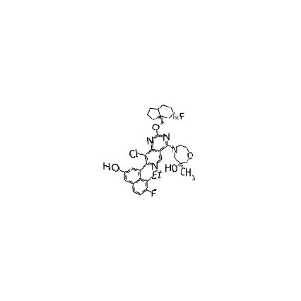 CCc1c(F)ccc2cc(O)cc(-c3ncc4c(N5CCOC[C@@](C)(O)C5)nc(OC[C@@]56CCCC5CC[C@H](F)C6)nc4c3Cl)c12